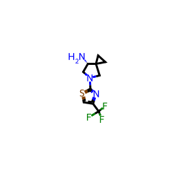 N[C@H]1CN(c2nc(C(F)(F)F)cs2)CC12CC2